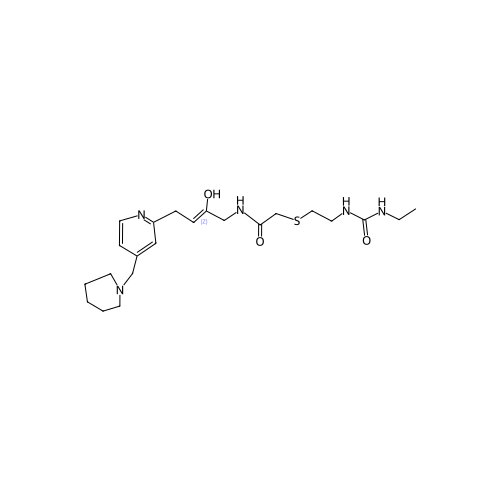 CCNC(=O)NCCSCC(=O)NC/C(O)=C/Cc1cc(CN2CCCCC2)ccn1